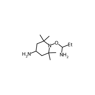 CCC(N)ON1C(C)(C)CC(N)CC1(C)C